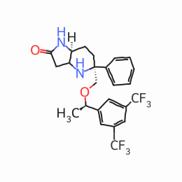 C[C@@H](OC[C@@]1(c2ccccc2)CC[C@@H]2NC(=O)CC2N1)c1cc(C(F)(F)F)cc(C(F)(F)F)c1